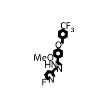 COc1cc(OCc2ccc(C(F)(F)F)cc2)ccc1-c1cnc(-c2ccc(F)nc2)[nH]1